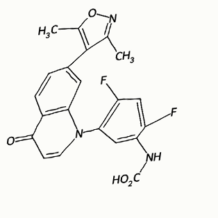 Cc1noc(C)c1-c1ccc2c(=O)ccn(-c3cc(NC(=O)O)c(F)cc3F)c2c1